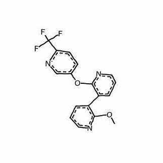 COc1ncccc1-c1cccnc1Oc1ccc(C(F)(F)F)nc1